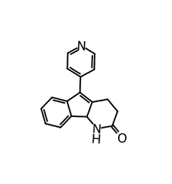 O=C1CCC2=C(c3ccncc3)c3ccccc3C2N1